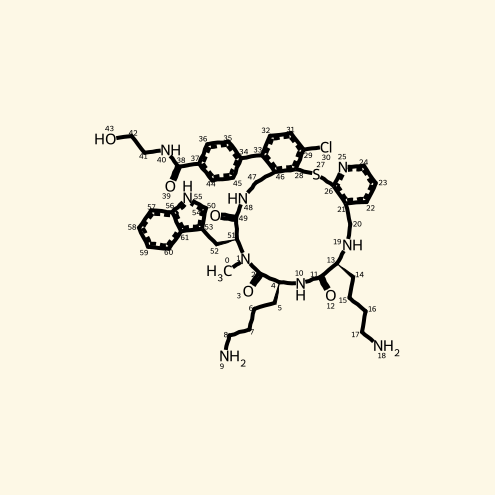 CN1C(=O)[C@H](CCCCN)NC(=O)[C@H](CCCCN)NCc2cccnc2Sc2c(Cl)ccc(-c3ccc(C(=O)NCCO)cc3)c2CNC(=O)[C@@H]1Cc1c[nH]c2ccccc12